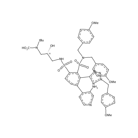 COc1ccc(CN(Cc2ccc(OC)cc2)S(=O)(=O)c2c(S(=O)(=O)NC[C@@H](O)CN(C(=O)O)C(C)(C)C)ccc(-c3ccncc3N)c2-c2nnn(Cc3ccc(OC)cc3)n2)cc1